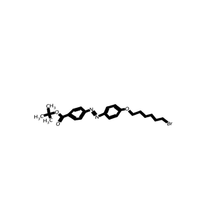 CC(C)(C)OC(=O)c1ccc(N=Nc2ccc(OCCCCCCBr)cc2)cc1